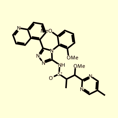 COc1cccc(OC)c1-n1c(N[S+]([O-])C(C)C(OC)c2ncc(C)cn2)nnc1-c1cccc2ncccc12